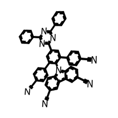 N#Cc1ccc(-c2cc(-c3nc(-c4ccccc4)nc(-c4ccccc4)n3)cc(-c3ccc(C#N)cc3)c2-n2c3ccc(C#N)cc3c3cc(C#N)ccc32)cc1